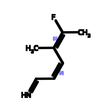 C/C(F)=C(C)\C=C/C=N